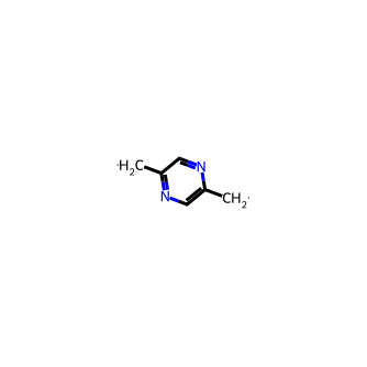 [CH2]c1cnc([CH2])cn1